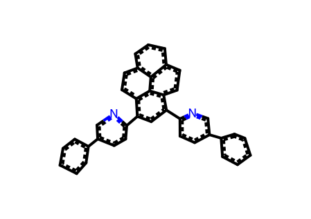 c1ccc(-c2ccc(-c3cc(-c4ccc(-c5ccccc5)cn4)c4ccc5cccc6ccc3c4c65)nc2)cc1